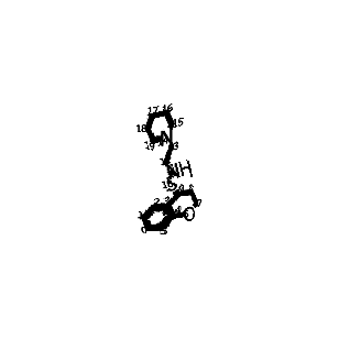 c1ccc2c(c1)OCCC2SNCCN1CCCCC1